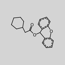 O=C(CC1CCCCC1)OC1c2ccccc2Oc2ccccc21